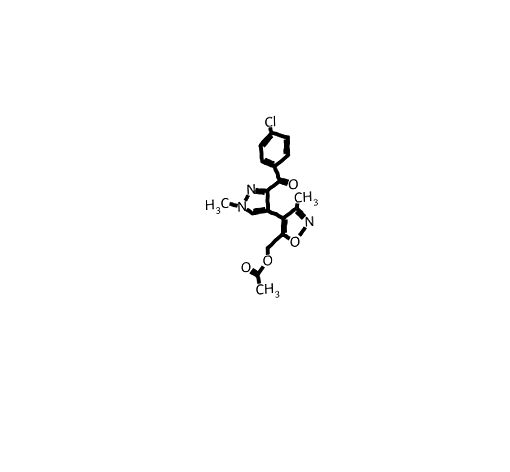 CC(=O)OCc1onc(C)c1-c1cn(C)nc1C(=O)c1ccc(Cl)cc1